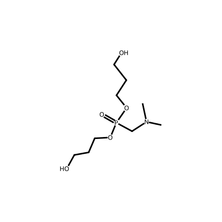 CN(C)CP(=O)(OCCCO)OCCCO